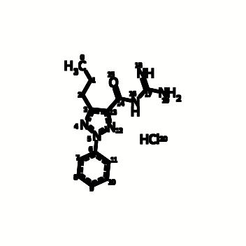 CCCc1nn(-c2ccccc2)nc1C(=O)NC(=N)N.Cl